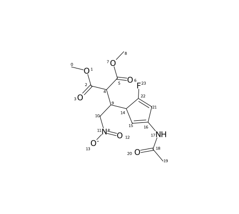 COC(=O)C(C(=O)OC)C(C[N+](=O)[O-])C1C=C(NC(C)=O)C=C1F